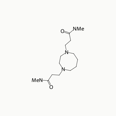 CNC(=O)CCN1CCCCN(CCC(=O)NC)CC1